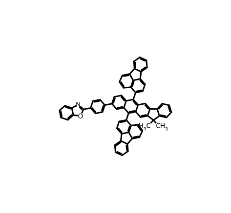 CC1(C)c2ccccc2-c2cc3c(-c4ccc5c6c(cccc46)-c4ccccc4-5)c4ccc(-c5ccc(-c6nc7ccccc7o6)cc5)cc4c(-c4ccc5c6c(cccc46)-c4ccccc4-5)c3cc21